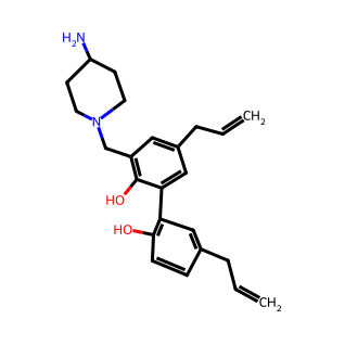 C=CCc1ccc(O)c(-c2cc(CC=C)cc(CN3CCC(N)CC3)c2O)c1